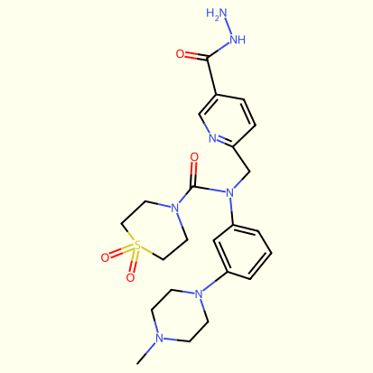 CN1CCN(c2cccc(N(Cc3ccc(C(=O)NN)cn3)C(=O)N3CCS(=O)(=O)CC3)c2)CC1